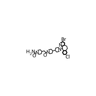 NC(=O)N1CCC(CC(=O)N2CCC(C3CC[N+](=C4c5ccc(Cl)cc5CCc5cc(Br)cnc54)CC3)CC2)CC1